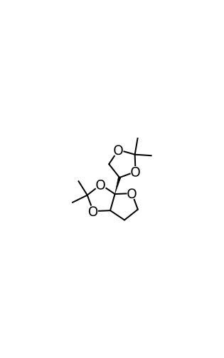 CC1(C)OCC([C@@]23OCCC2OC(C)(C)O3)O1